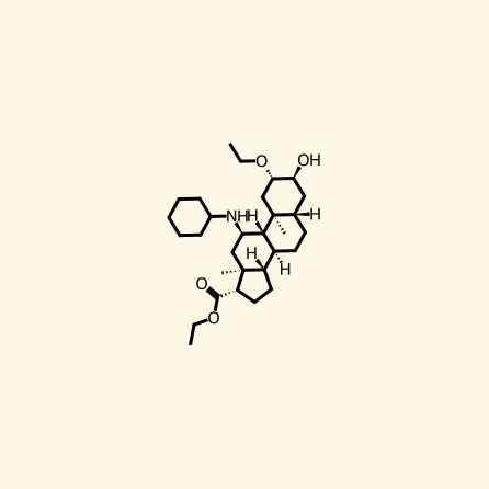 CCOC(=O)[C@H]1CC[C@H]2[C@@H]3CC[C@H]4C[C@H](O)[C@@H](OCC)C[C@]4(C)[C@H]3[C@H](NC3CCCCC3)C[C@]12C